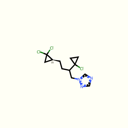 ClC1(C(CC[C@H]2CC2(Cl)Cl)Cn2cncn2)CC1